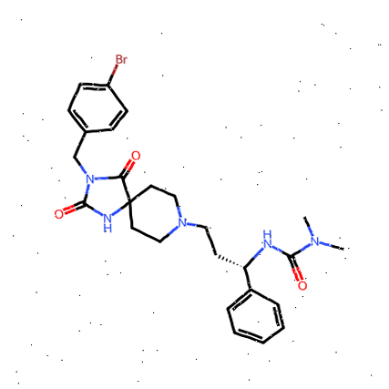 CN(C)C(=O)N[C@@H](CCN1CCC2(CC1)NC(=O)N(Cc1ccc(Br)cc1)C2=O)c1ccccc1